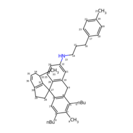 CCCCc1cc2c(c(CCCC)c1C)Cc1cc(NCCCc3ccc(C)cc3)ccc1C21CCC2=C1C(C)CC=C2